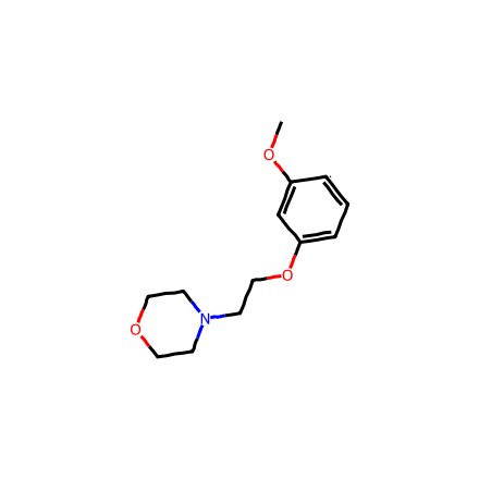 COc1[c]ccc(OCCN2CCOCC2)c1